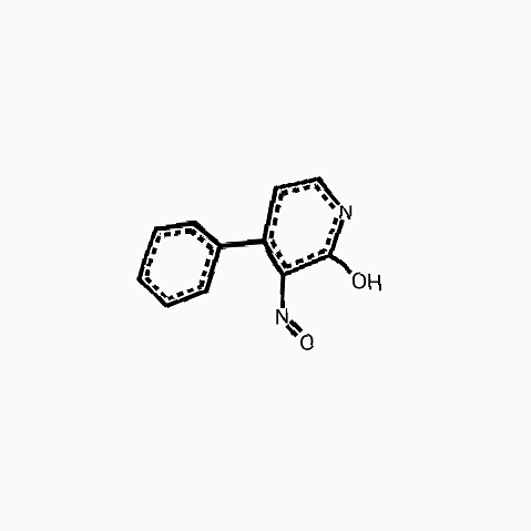 O=Nc1c(-c2ccccc2)ccnc1O